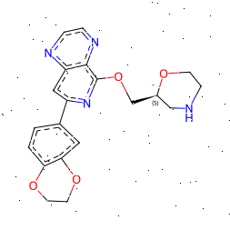 c1cnc2c(OC[C@@H]3CNCCO3)nc(-c3ccc4c(c3)OCCO4)cc2n1